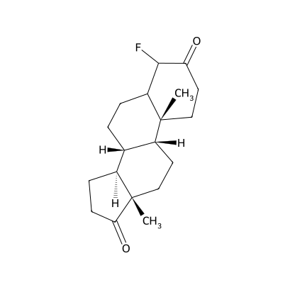 C[C@]12CCC(=O)C(F)C1CC[C@@H]1[C@H]2CC[C@]2(C)C(=O)CC[C@@H]12